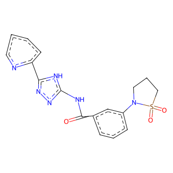 O=C(Nc1nnc(-c2ccccn2)[nH]1)c1cccc(N2CCCS2(=O)=O)c1